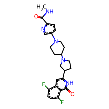 CNC(=O)c1ccc(N2CCC(N3CCC(c4cc5c(F)ccc(F)c5c(=O)[nH]4)C3)CC2)cn1